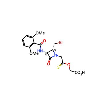 COc1cccc(OC)c1C(=O)N[C@H]1C(=O)N(CC(=S)OCC(=O)O)[C@H]1CBr